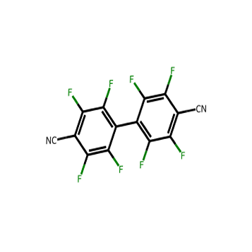 N#Cc1c(F)c(F)c(-c2c(F)c(F)c(C#N)c(F)c2F)c(F)c1F